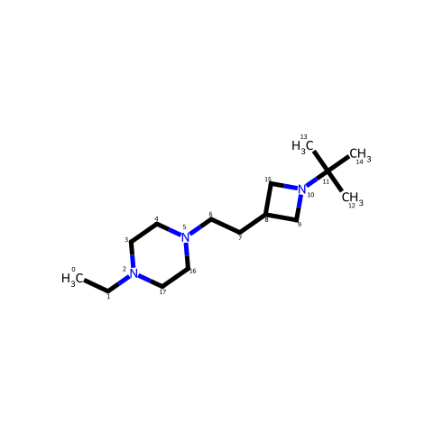 CCN1CCN(CCC2CN(C(C)(C)C)C2)CC1